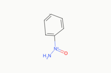 N[N+](=O)c1cc[c]cc1